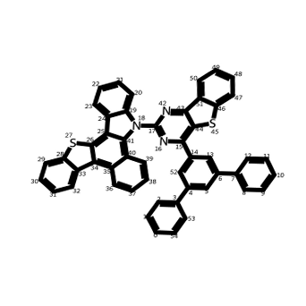 c1ccc(-c2cc(-c3ccccc3)cc(-c3nc(-n4c5ccccc5c5c6sc7ccccc7c6c6ccccc6c54)nc4c3sc3ccccc34)c2)cc1